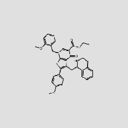 CCOC(=O)c1cn(Cc2ccccc2OC)c2sc(-c3ccc(OC)cc3)c(CC3NCCc4ccccc43)c2c1=O